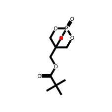 CC(C)(C)C(=O)OCC12COP(=O)(OC1)OC2